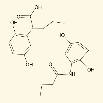 CCCC(=O)Nc1cc(O)ccc1O.CCCC(C(=O)O)c1cc(O)ccc1O